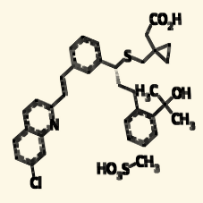 CC(C)(O)c1ccccc1CC[C@@H](SCC1(CC(=O)O)CC1)c1cccc(/C=C/c2ccc3ccc(Cl)cc3n2)c1.CS(=O)(=O)O